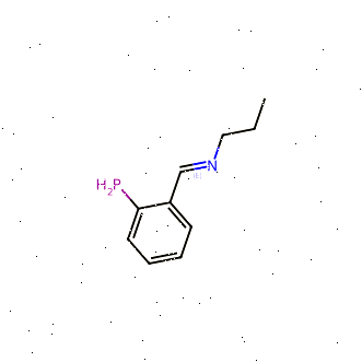 CCC/N=C/c1ccccc1P